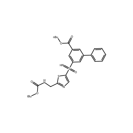 CCCCOC(=O)c1cc(-c2ccccc2)cc(S(=N)(=O)c2cnc(CNC(=O)OC(C)(C)C)s2)c1